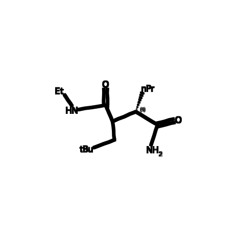 CCC[C@H](C(N)=O)C(CC(C)(C)C)C(=O)NCC